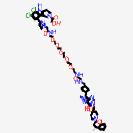 C[C@H](CC(=O)N1CCC(O)(Cn2cnc3c(-c4ccc(CNCC(=O)NCCOCCOCCOCCOCCOCCNC(=O)Cn5ccc(-c6cc(Cl)c(Cl)c7[nH]c8c(c67)CN(C(=O)CO)CC8)n5)cc4)n(C)nc3c2=O)CC1)c1ccccc1